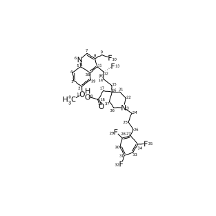 COc1ccc2ncc(CF)c([C@H](F)CCC3(CC(=O)O)CCN(CCCc4c(F)cc(F)cc4F)CC3)c2c1